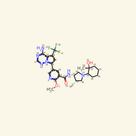 COc1ncc(-c2cc(C(F)(F)F)c3c(N)ncnn23)cc1C(=O)N[C@@H]1CN(C2CCCCC2(C)O)C[C@@H]1F